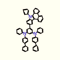 c1ccc(-c2ccc(N(c3ccccc3)c3cc(-c4ccc5c(c4)c4c6ccccc6c6ccccc6c4n5-c4ccccc4)cc(N(c4ccccc4)c4ccc(-c5ccccc5)cc4)c3)cc2)cc1